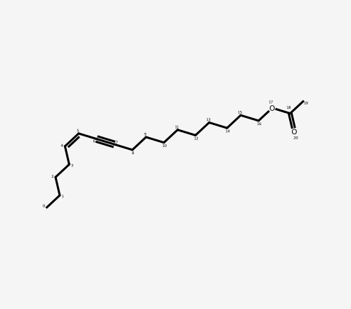 CCCC/C=C\C#CCCCCCCCCCOC(C)=O